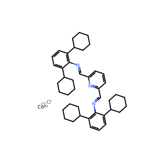 C(=Nc1c(C2CCCCC2)cccc1C1CCCCC1)c1cccc(C=Nc2c(C3CCCCC3)cccc2C2CCCCC2)n1.[Cl-].[Cl-].[Co+2]